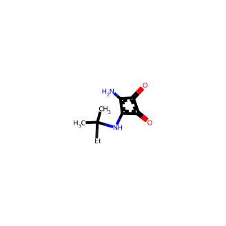 CCC(C)(C)Nc1c(N)c(=O)c1=O